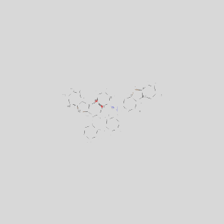 c1ccc(-c2cccc(N(c3ccccc3)c3ccc4c(c3)sc3ccccc34)c2-c2ccc3c(c2)sc2ccccc23)cc1